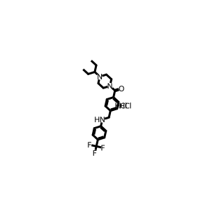 CCC(CC)N1CCN(C(=O)c2ccc(CNc3ccc(C(F)(F)F)cc3)cc2)CC1.Cl.Cl